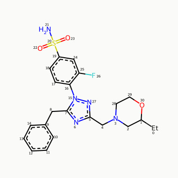 CCC1CN(Cc2nc(Cc3ccccc3)n(-c3ccc(S(N)(=O)=O)cc3F)n2)CCO1